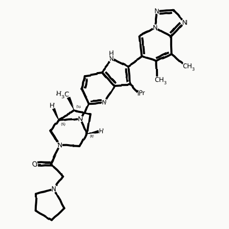 Cc1c(-c2[nH]c3ccc(N4[C@@H]5C[C@H](C)[C@H]4CN(C(=O)CN4CCCC4)C5)nc3c2C(C)C)cn2ncnc2c1C